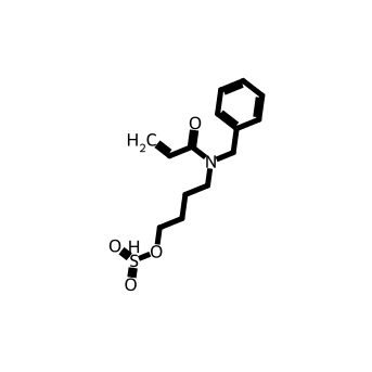 C=CC(=O)N(CCCCO[SH](=O)=O)Cc1ccccc1